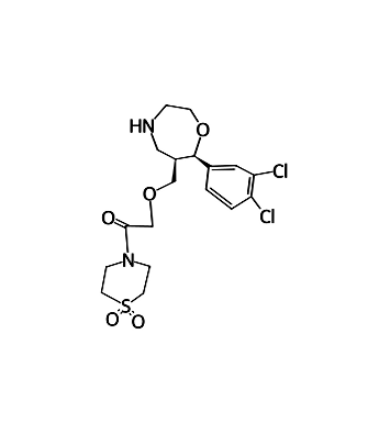 O=C(COC[C@H]1CNCCO[C@H]1c1ccc(Cl)c(Cl)c1)N1CCS(=O)(=O)CC1